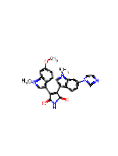 COc1ccc2c(C3=C(c4cn(C)c5cc(-n6ccnc6)ccc45)C(=O)NC3=O)cn(C)c2c1